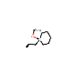 C=CC[Si]1(OCCCCC)CCCCC1